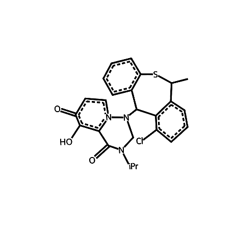 CC1Sc2ccccc2C(N2CN(C(C)C)C(=O)c3c(O)c(=O)ccn32)c2c(Cl)cccc21